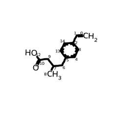 C=Cc1ccc(CC(C)CC(=O)O)cc1